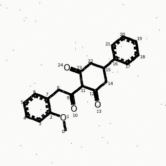 COc1ccccc1CC(=O)C1C(=O)CC(c2ccccc2)CC1=O